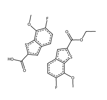 CCOC(=O)c1cc2ccc(F)c(OC)c2s1.COc1c(F)ccc2cc(C(=O)O)sc12